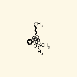 CCCCCCOS(=O)(=O)N(C(=O)OC(C)C)c1ccccc1